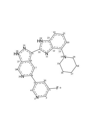 Fc1cncc(-c2cc3c(-c4nc5c(N6CCCCC6)cccc5[nH]4)n[nH]c3cn2)c1